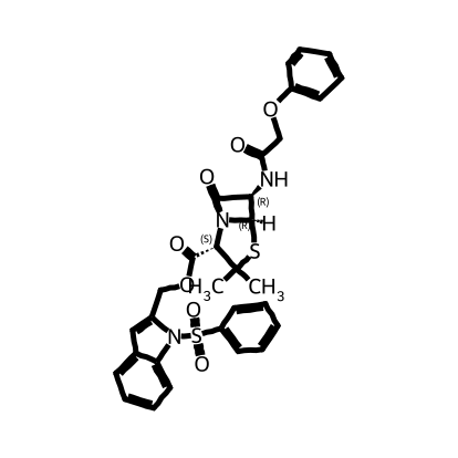 CC1(C)S[C@@H]2[C@H](NC(=O)COc3ccccc3)C(=O)N2[C@H]1C(=O)OCc1cc2ccccc2n1S(=O)(=O)c1ccccc1